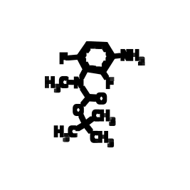 CN(C(=O)OC(C)(C)C)c1c(F)ccc(N)c1F